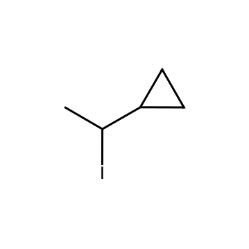 CC(I)C1CC1